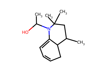 CC1CC(C)(C)N(C(C)O)C2=CC=CCC21